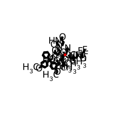 COc1ccc(C(OC[C@H]2O[C@@H](n3ccc(=O)[nH]c3=O)[C@H](OCOCC(C)(C)CNC(=O)C(F)(F)F)[C@@H]2O[PH](O)(CCC#N)N(C(C)C)C(C)C)(c2ccccc2)c2ccc(OC)cc2)cc1